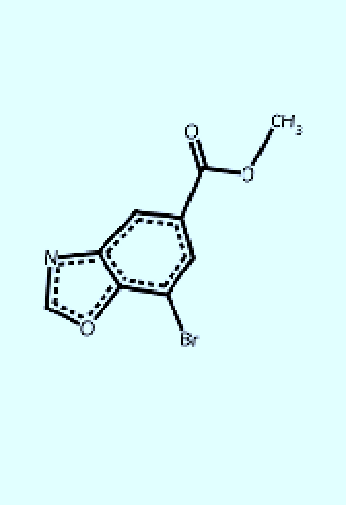 COC(=O)c1cc(Br)c2ocnc2c1